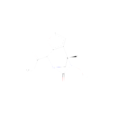 COC(=O)C1c2occc2[C@H]2CN1C(=O)N2OS(=O)(=O)O